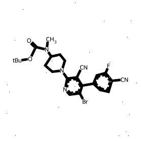 CN(C(=O)OC(C)(C)C)C1CCN(c2ncc(Br)c(-c3ccc(C#N)c(F)c3)c2C#N)CC1